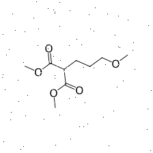 COCCCC(C(=O)OC)C(=O)OC